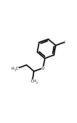 [CH2]C(CC)Oc1cccc(I)c1